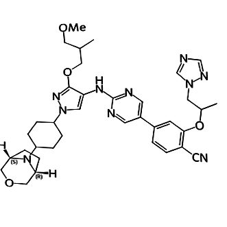 COCC(C)COc1nn(C2CCC(N3[C@@H]4CC[C@H]3COC4)CC2)cc1Nc1ncc(-c2ccc(C#N)c(OC(C)Cn3cncn3)c2)cn1